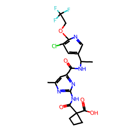 Cc1cc(C(=O)NC(C)c2cnc(OCC(F)(F)F)c(Cl)c2)nc(NC(=O)C2(C(=O)O)CCC2)n1